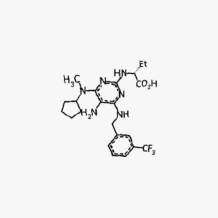 CC[C@@H](Nc1nc(NCc2cccc(C(F)(F)F)c2)c(N)c(N(C)C2CCCC2)n1)C(=O)O